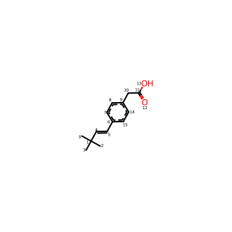 CC(C)(C)C=Cc1ccc(CC(=O)O)cc1